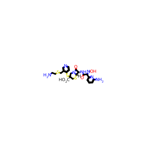 NCCSCc1cnccc1SC1(C(=O)O)CS[C@@H]2[C@H](NC(=O)C(=NO)c3cccc(N)n3)C(=O)N2C1